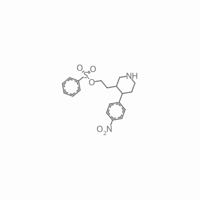 O=[N+]([O-])c1ccc(C2CCNCC2CCOS(=O)(=O)c2ccccc2)cc1